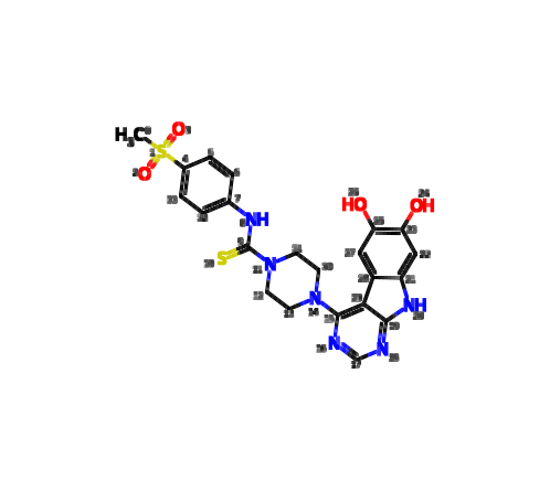 CS(=O)(=O)c1ccc(NC(=S)N2CCN(c3ncnc4[nH]c5cc(O)c(O)cc5c34)CC2)cc1